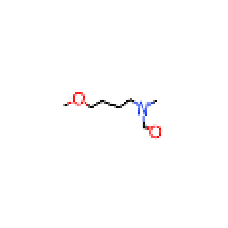 COCCCCN(C)C=O